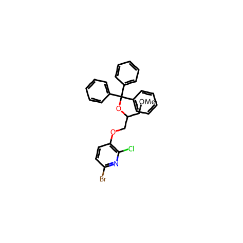 COCC(COc1ccc(Br)nc1Cl)OC(c1ccccc1)(c1ccccc1)c1ccccc1